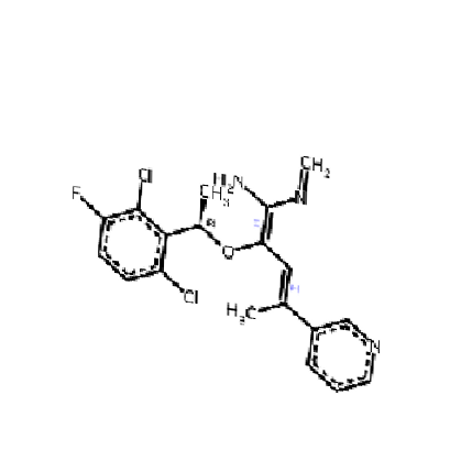 C=N/C(N)=C(\C=C(/C)c1cccnc1)O[C@H](C)c1c(Cl)ccc(F)c1Cl